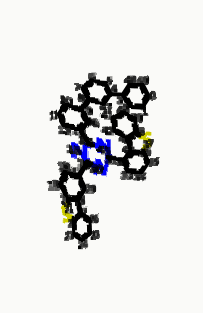 c1ccc(-c2cccc(-c3cccc(-c4nc(-c5ccc6sc7ccccc7c6c5)nc(-c5cccc6sc7ccccc7c56)n4)c3)c2)cc1